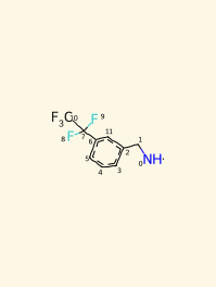 [NH]Cc1cccc(C(F)(F)C(F)(F)F)c1